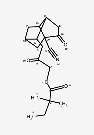 CCC(C)(C)C(=O)OCC(=O)CC1C2CC3C1CC(=O)C3(C#N)C2